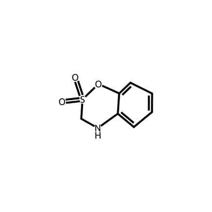 O=S1(=O)CNc2ccccc2O1